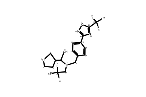 OC(C1CCOC1)N(Cc1ccc(-c2noc(C(F)(F)F)n2)cc1)CC(F)(F)F